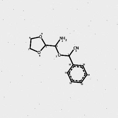 N#CC(OC(N)C1OCCO1)c1ccccc1